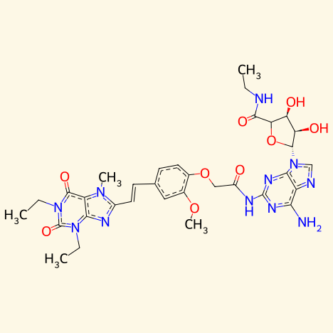 CCNC(=O)C1O[C@@H](n2cnc3c(N)nc(NC(=O)COc4ccc(/C=C/c5nc6c(c(=O)n(CC)c(=O)n6CC)n5C)cc4OC)nc32)[C@H](O)[C@@H]1O